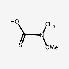 CON(C)C(O)=S